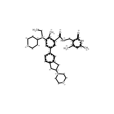 CCN(c1cc(-c2ccc3c(c2)CC(N2CCOCC2)C3)cc(C(=O)NCc2c(C)cc(C)[nH]c2=O)c1C)C1CCOCC1